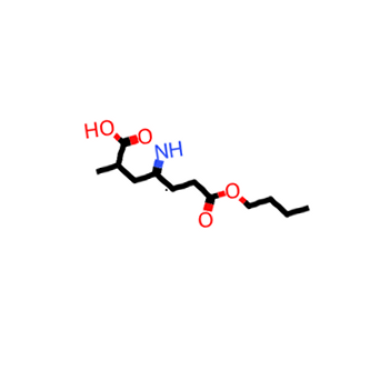 CCCCOC(=O)C[CH]C(=N)CC(C)C(=O)O